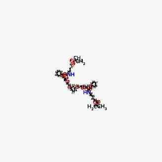 C=C(C)C(=O)OCCCCCNC(=O)OC(COCCOc1cccc(OCCOCC(COc2ccccc2)OC(=O)NCCCCCOC(=O)C(=C)C)c1)COc1ccccc1